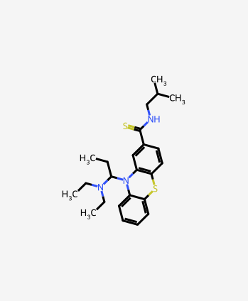 CCC(N(CC)CC)N1c2ccccc2Sc2ccc(C(=S)NCC(C)C)cc21